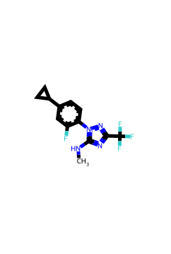 CNc1nc(C(F)(F)F)nn1-c1ccc(C2CC2)cc1F